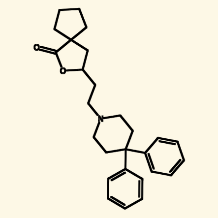 O=C1OC(CCN2CCC(c3ccccc3)(c3ccccc3)CC2)CC12CCCC2